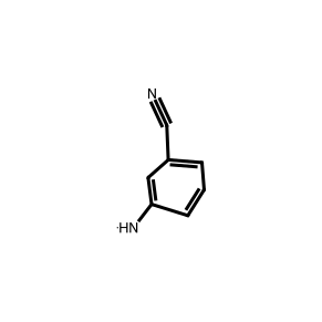 N#Cc1cccc([NH])c1